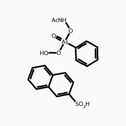 CC(=O)NO[As](=O)(OO)c1ccccc1.O=S(=O)(O)c1ccc2ccccc2c1